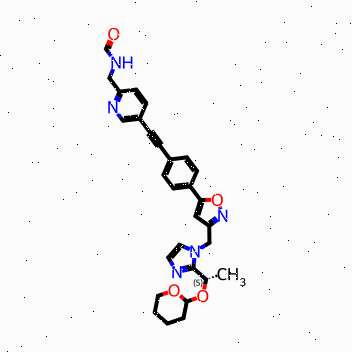 C[C@H](OC1CCCCO1)c1nccn1Cc1cc(-c2ccc(C#Cc3ccc(CNC=O)nc3)cc2)on1